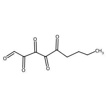 CCCCC(=O)C(=O)C(=O)C(=O)C=O